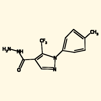 Cc1ccc(-n2ncc(C(=O)NN)c2C(F)(F)F)cc1